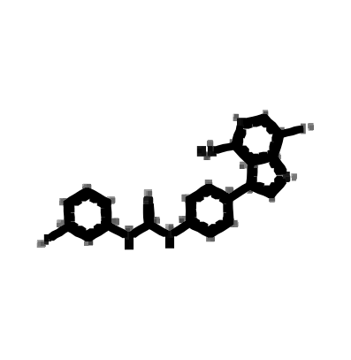 Nc1ncc(I)c2scc(-c3ccc(NC(=O)Nc4cccc(F)c4)cc3)c12